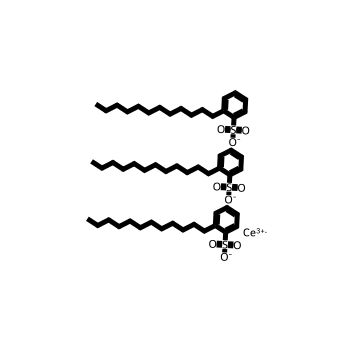 CCCCCCCCCCCCc1ccccc1S(=O)(=O)[O-].CCCCCCCCCCCCc1ccccc1S(=O)(=O)[O-].CCCCCCCCCCCCc1ccccc1S(=O)(=O)[O-].[Ce+3]